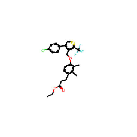 CCOC(=O)CCc1ccc(OCc2c(-c3ccc(Cl)cc3)csc2C(F)(F)F)c(C)c1C